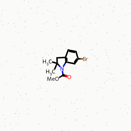 COC(=O)N1c2cc(Br)ccc2CC1(C)C